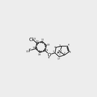 CN1C2C=CC1CC(Oc1ccc(Cl)c(F)c1)C2